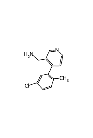 Cc1ccc(Cl)cc1-c1ccncc1CN